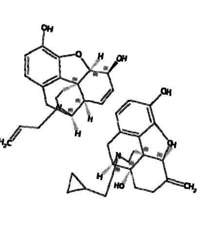 C=C1CC[C@@]2(O)[C@H]3Cc4ccc(O)c5c4[C@@]2(CCN3CC2CC2)[C@H]1O5.C=CCN1CC[C@]23c4c5ccc(O)c4O[C@H]2[C@@H](O)C=C[C@H]3[C@H]1C5